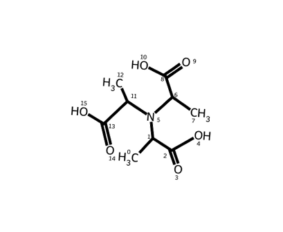 CC(C(=O)O)N(C(C)C(=O)O)C(C)C(=O)O